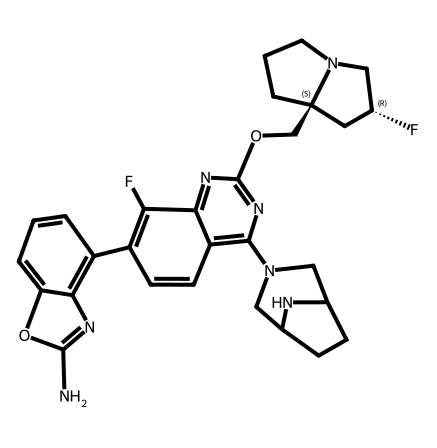 Nc1nc2c(-c3ccc4c(N5CC6CCC(C5)N6)nc(OC[C@@]56CCCN5C[C@H](F)C6)nc4c3F)cccc2o1